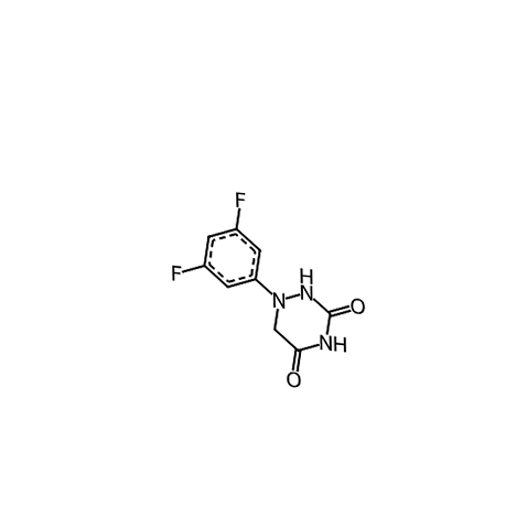 O=C1CN(c2cc(F)cc(F)c2)NC(=O)N1